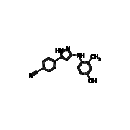 Cc1cc(O)ccc1Nc1cc(-c2ccc(C#N)cc2)[nH]n1